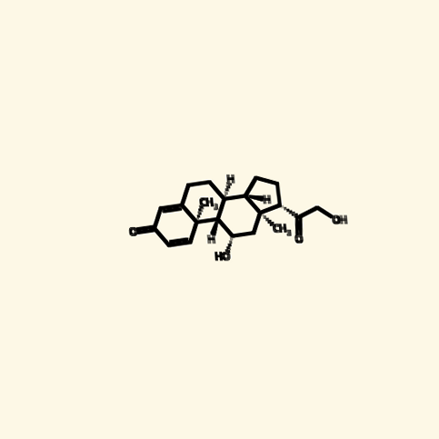 C[C@]12C[C@H](O)[C@H]3[C@@H](CCC4=CC(=O)C=C[C@@]43C)[C@@H]1CC[C@@H]2C(=O)CO